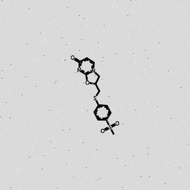 CS(=O)(=O)c1ccc(SCC2Cn3ccc(=O)nc3O2)cc1